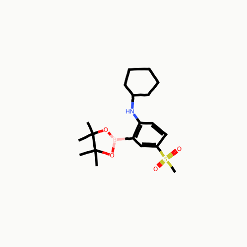 CC1(C)OB(c2cc(S(C)(=O)=O)ccc2NC2CCCCC2)OC1(C)C